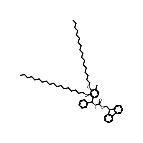 CCCCCCCCCCCCCCCCCCOc1c(C)ccc(C(NC(=O)OCC2c3ccccc3-c3ccccc32)c2ccccc2)c1OCCCCCCCCCCCCCCCCCC